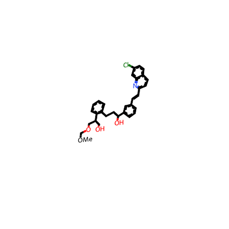 COCOCC(CO)c1ccccc1CCC(O)c1cccc(C=Cc2ccc3ccc(Cl)cc3n2)c1